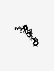 CC(C)OC(=O)c1cccc(-n2ncc3c2COC[C@@H]3NC(=O)c2ncn3c2CCCC3)c1Cl